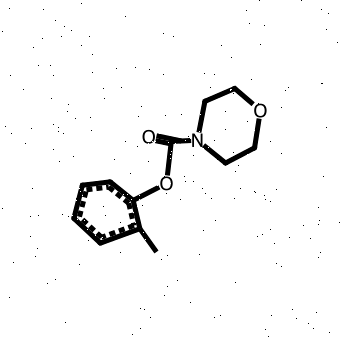 Cc1ccccc1OC(=O)N1CCOCC1